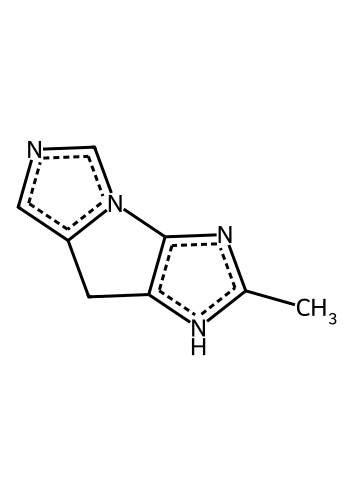 Cc1nc2c([nH]1)Cc1cncn1-2